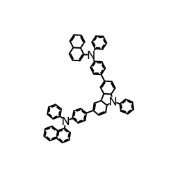 C1=CC2C=CC=C(N(c3ccccc3)c3ccc(C4=CC5C6C=C(c7ccc(N(c8ccccc8)c8cccc9ccccc89)cc7)C=CC6N(c6ccccc6)C5C=C4)cc3)C2C=C1